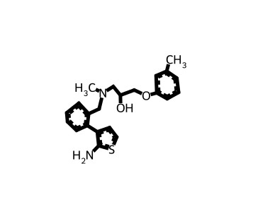 Cc1cccc(OCC(O)CN(C)Cc2ccccc2-c2ccsc2N)c1